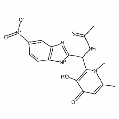 CC(=S)NC(c1nc2cc([N+](=O)[O-])ccc2[nH]1)c1c(O)c(=O)cc(C)n1C